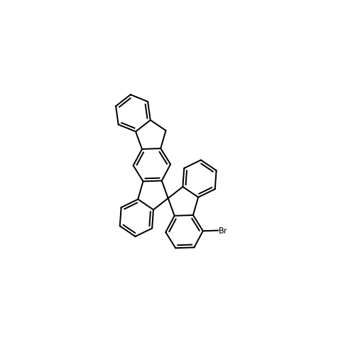 Brc1cccc2c1-c1ccccc1C21c2ccccc2-c2cc3c(cc21)Cc1ccccc1-3